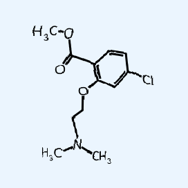 COC(=O)c1ccc(Cl)cc1OCCN(C)C